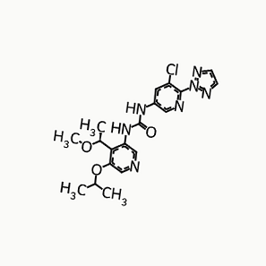 CO[C@@H](C)c1c(NC(=O)Nc2cnc(-n3nccn3)c(Cl)c2)cncc1OC(C)C